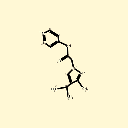 Cc1nn(CC(=O)Nc2ccnnc2)cc1C(C)C